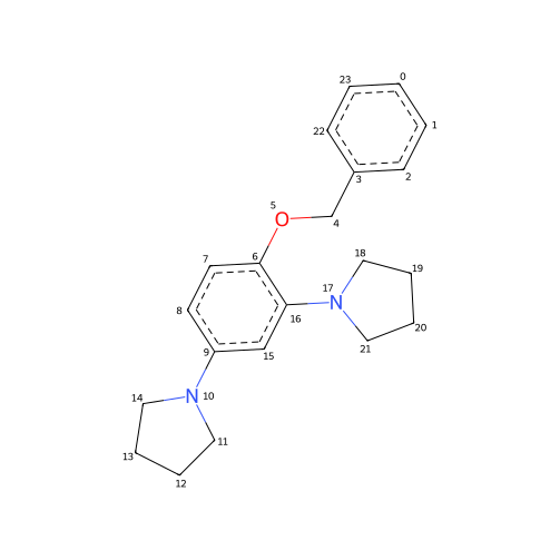 c1ccc(COc2ccc(N3CCCC3)cc2N2CCCC2)cc1